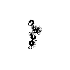 COc1ccc(-c2ccn(CC[C@](C)(C(=O)NOC3CCCCO3)S(C)(=O)=O)c(=O)c2)c(F)c1F